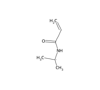 C=CC(=O)N[C](C)C